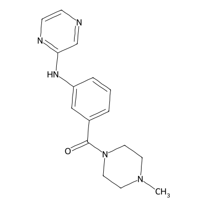 CN1CCN(C(=O)c2cccc(Nc3cnccn3)c2)CC1